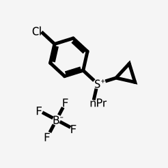 CCC[S+](c1ccc(Cl)cc1)C1CC1.F[B-](F)(F)F